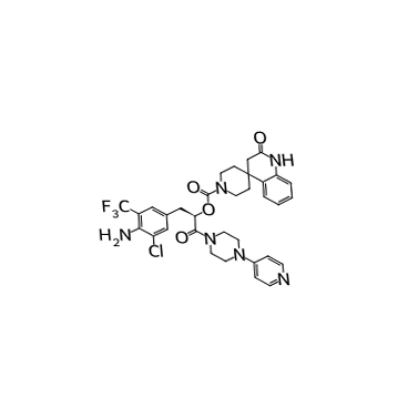 Nc1c(Cl)cc(C[C@@H](OC(=O)N2CCC3(CC2)CC(=O)Nc2ccccc23)C(=O)N2CCN(c3ccncc3)CC2)cc1C(F)(F)F